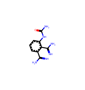 N=C(N)c1cccc(NC(N)=O)c1C(=N)N